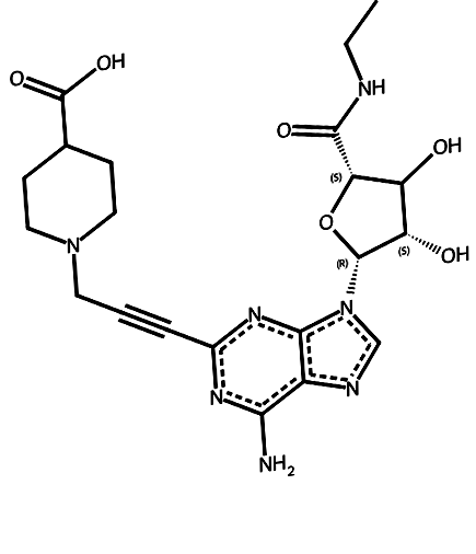 CCNC(=O)[C@H]1O[C@@H](n2cnc3c(N)nc(C#CCN4CCC(C(=O)O)CC4)nc32)[C@@H](O)C1O